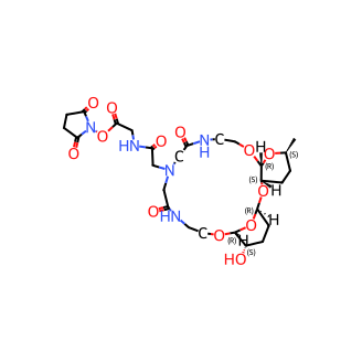 C[C@H]1CC[C@@H]2O[C@H]3CC[C@H](O)[C@H](OCCNC(=O)CN(CC(=O)NCC(=O)ON4C(=O)CCC4=O)CC(=O)NCCO[C@@H]2O1)O3